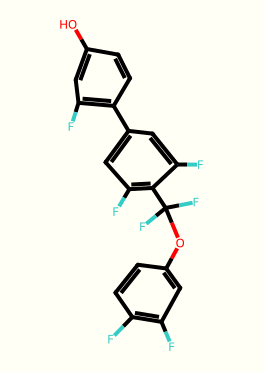 Oc1ccc(-c2cc(F)c(C(F)(F)Oc3ccc(F)c(F)c3)c(F)c2)c(F)c1